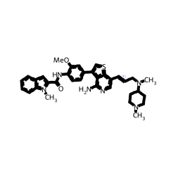 COc1cc(-c2csc3c(/C=C/CN(C)C4CCN(C)CC4)cnc(N)c23)ccc1NC(=O)c1cc2ccccc2n1C